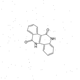 O=c1[nH]c2c3ccccc3[nH]c(=O)c2c2ccccc12